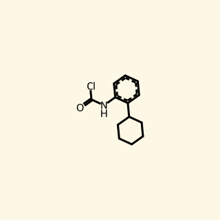 O=C(Cl)Nc1ccccc1C1CCCCC1